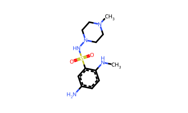 CNc1ccc(N)cc1S(=O)(=O)NN1CCN(C)CC1